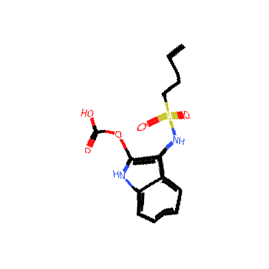 CCCCS(=O)(=O)Nc1c(OC(=O)O)[nH]c2ccccc12